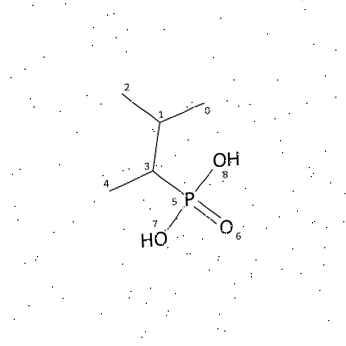 CC(C)C(C)P(=O)(O)O